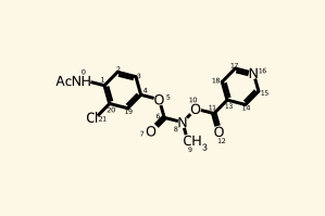 CC(=O)Nc1ccc(OC(=O)N(C)OC(=O)c2ccncc2)cc1Cl